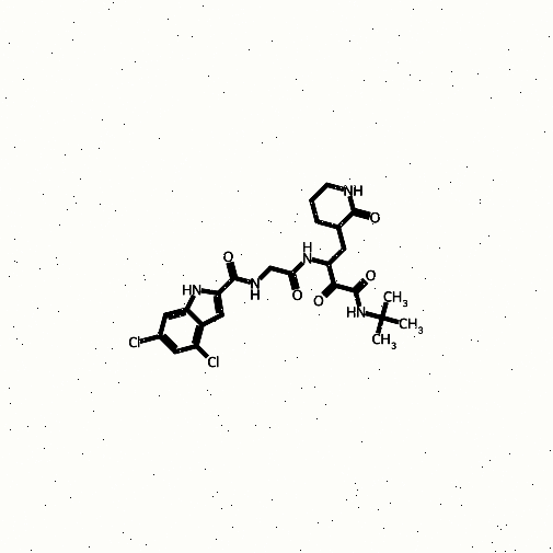 CC(C)(C)NC(=O)C(=O)C(CC1CCCNC1=O)NC(=O)CNC(=O)c1cc2c(Cl)cc(Cl)cc2[nH]1